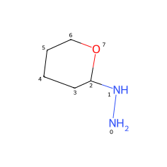 NNC1CCCCO1